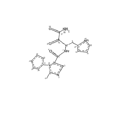 Cc1ncc(C(=O)NC(Cc2ccc[nH]2)C(=O)C(N)=O)n1-c1ccccc1